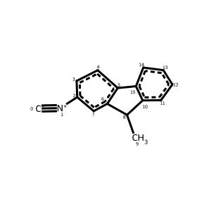 [C-]#[N+]c1ccc2c(c1)C(C)c1ccccc1-2